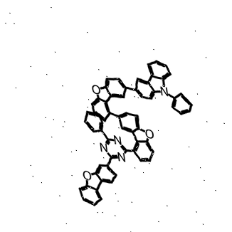 c1ccc(-c2nc(-c3ccc4c(c3)oc3ccccc34)nc(-c3cccc4oc5ccc(-c6cccc7oc8ccc(-c9ccc%10c(c9)c9ccccc9n%10-c9ccccc9)cc8c67)cc5c34)n2)cc1